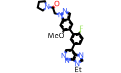 CCn1cnc2c(-c3ccc(F)c(-c4cc5cnn(CC(=O)N6CCCC6)c5cc4OC)c3)cnnc21